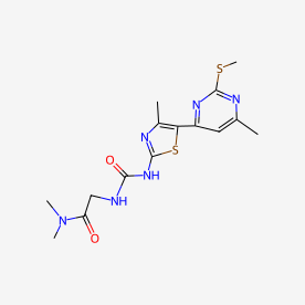 CSc1nc(C)cc(-c2sc(NC(=O)NCC(=O)N(C)C)nc2C)n1